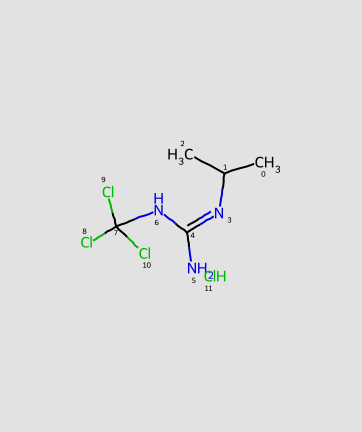 CC(C)N=C(N)NC(Cl)(Cl)Cl.Cl